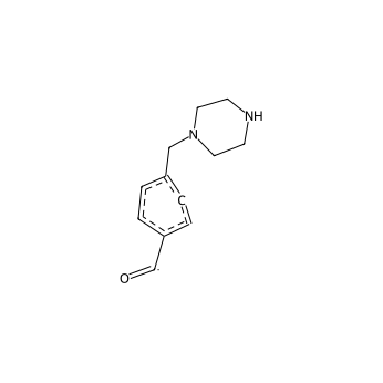 O=[C]c1ccc(CN2CCNCC2)cc1